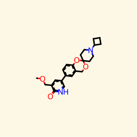 COCc1cc(-c2ccc3c(c2)COC2(CCN(C4CCC4)CC2)O3)c[nH]c1=O